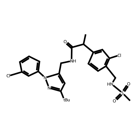 CC(C(=O)NCc1cc(C(C)(C)C)nn1-c1cccc(Cl)c1)c1ccc(CNS(C)(=O)=O)c(Cl)c1